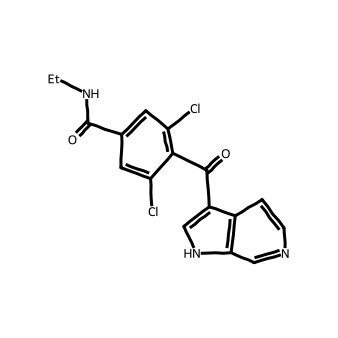 CCNC(=O)c1cc(Cl)c(C(=O)c2c[nH]c3cnccc23)c(Cl)c1